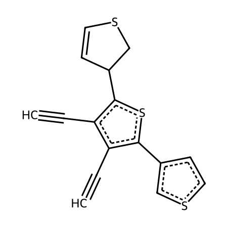 C#Cc1c(-c2ccsc2)sc(C2C=CSC2)c1C#C